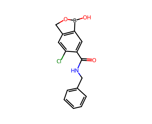 O=C(NCc1ccccc1)c1cc2c(cc1Cl)COB2O